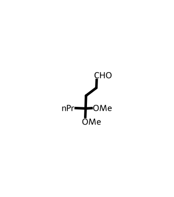 CCCC(CCC=O)(OC)OC